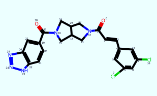 O=C(/C=C/c1cc(Cl)cc(Cl)c1)N1CC2CN(C(=O)c3ccc4[nH]nnc4c3)CC2C1